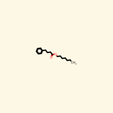 CCCCCCCOC(=O)CCCc1ccccc1